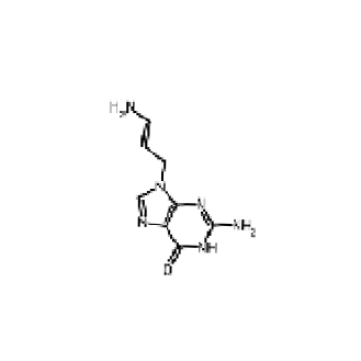 NC=CCn1cnc2c(=O)[nH]c(N)nc21